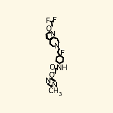 Cc1cnc(OCC(=O)N[C@H]2CC[C@](F)(CCN3CCc4ccc(OCC(F)F)nc4CC3)CC2)cn1